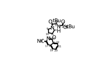 CC(C)(C)OC(=O)N[C@H](C(=O)N1CC[C@@H](Oc2nc(C#N)cc3ccccc23)C1)C(C)(C)C